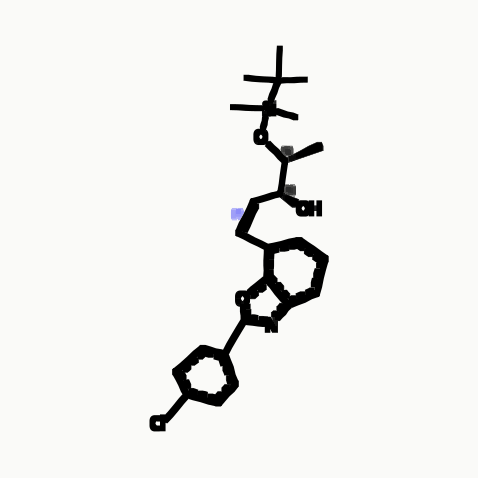 C[C@H](O[Si](C)(C)C(C)(C)C)[C@@H](O)/C=C\c1cccc2nc(-c3ccc(Cl)cc3)oc12